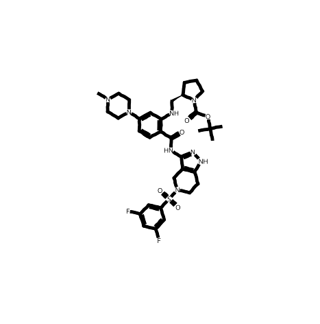 CN1CCN(c2ccc(C(=O)Nc3n[nH]c4c3CN(S(=O)(=O)c3cc(F)cc(F)c3)CC4)c(NC[C@H]3CCCN3C(=O)OC(C)(C)C)c2)CC1